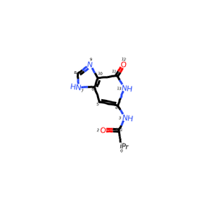 CC(C)C(=O)Nc1cc2[nH]cnc2c(=O)[nH]1